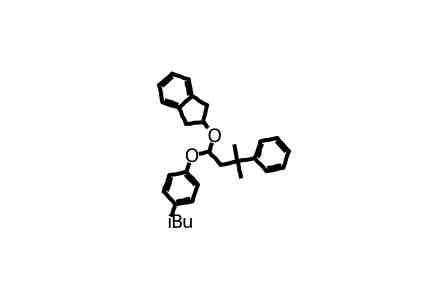 CCC(C)c1ccc(OC(CC(C)(C)c2ccccc2)OC2Cc3ccccc3C2)cc1